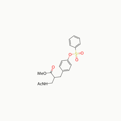 COC(=O)C(CNC(C)=O)Cc1ccc(OS(=O)(=O)c2ccccc2)cc1